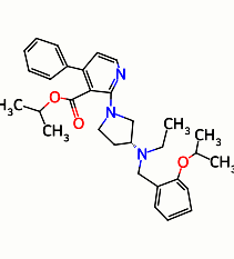 CCN(Cc1ccccc1OC(C)C)[C@@H]1CCN(c2nccc(-c3ccccc3)c2C(=O)OC(C)C)C1